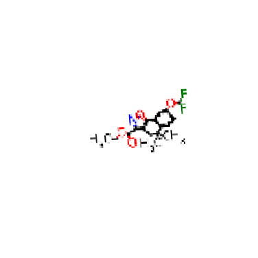 CCOC(=O)c1noc2c1CC(C)(C)c1ccc(OC(F)F)cc1-2